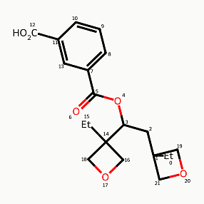 CCC1(CC(OC(=O)c2cccc(C(=O)O)c2)C2(CC)COC2)COC1